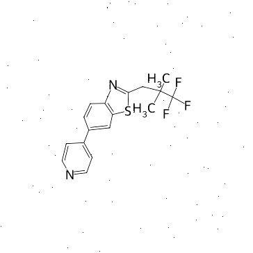 CC(C)(Cc1nc2ccc(-c3ccncc3)cc2s1)C(F)(F)F